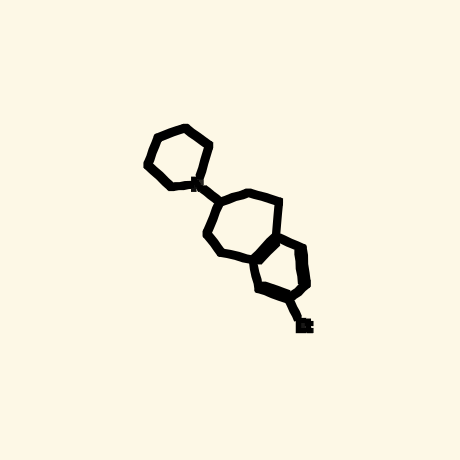 CCc1ccc2c(c1)CCC(N1CCCCC1)CC2